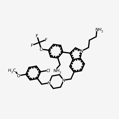 COc1ccc(Cl)c(CN2CCN(Cc3ccc4c(c3)c(-c3ccc(OC(F)(F)F)cc3CN)cn4CCCN)CC2)c1